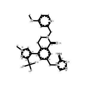 COc1ccnc(CN2CCc3c(cc(Cn4cnsc4=N)cc3-c3cn(C)nc3C(F)(F)F)C2=O)c1